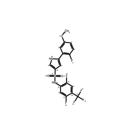 COc1ccc(F)c(-c2cc(S(=O)(=O)Nc3cc(F)c(C(F)(F)F)cc3F)c[nH]2)c1